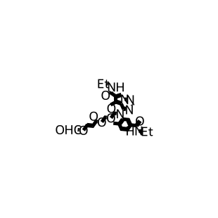 CCNC(=O)c1ccc(C)c(N(C(=O)OCOC(=O)/C=C/OC=O)c2ncnn3cc(C(=O)NCC)c(C)c23)c1